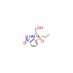 CCCS(=O)(=O)c1cccc([N+](=O)[O-])c1NCCO